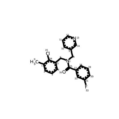 Cc1cccc(CN(Cc2cccnc2)C(=O)c2cccc(F)c2)c1Cl